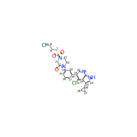 O=C1CN(S(=O)(=O)CCCCl)CCN1c1cccc(-c2cnc3[nH]cc(C4CC4)c3c2Cl)c1